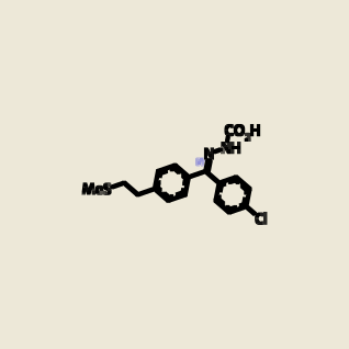 CSCCc1ccc(/C(=N/NC(=O)O)c2ccc(Cl)cc2)cc1